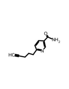 C#CCCCc1ccc(C(N)=O)cn1